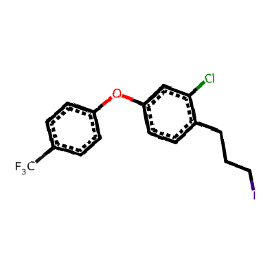 FC(F)(F)c1ccc(Oc2ccc(CCCI)c(Cl)c2)cc1